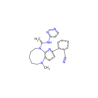 C=C(Nc1ccncn1)N1CCCCCN(C)c2ccc(-c3ccccc3C#N)nc21